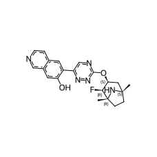 C[C@@]12CC[C@@](C)(N1)[C@@H](F)[C@@H](Oc1ncc(-c3cc4ccncc4cc3O)nn1)C2